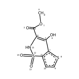 COC(=O)C1=C(O)c2sccc2S(=O)(=O)N1